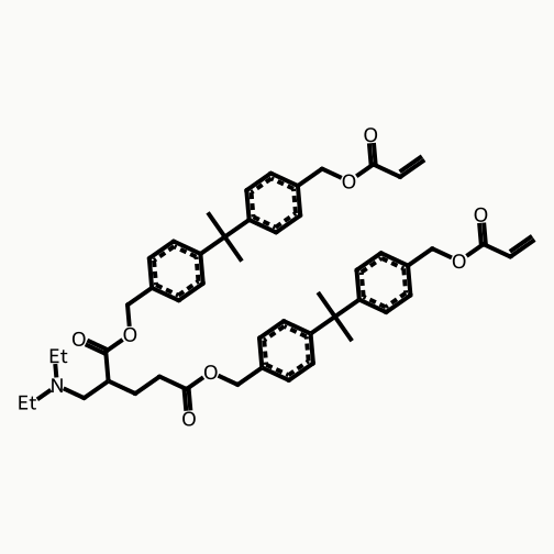 C=CC(=O)OCc1ccc(C(C)(C)c2ccc(COC(=O)CCC(CN(CC)CC)C(=O)OCc3ccc(C(C)(C)c4ccc(COC(=O)C=C)cc4)cc3)cc2)cc1